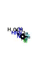 CC(C)Nc1nc2cc(Cl)c(C(F)(F)F)cc2[nH]1